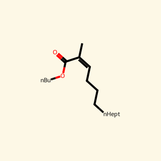 CCCCCCCCCCC=C(C)C(=O)OCCCC